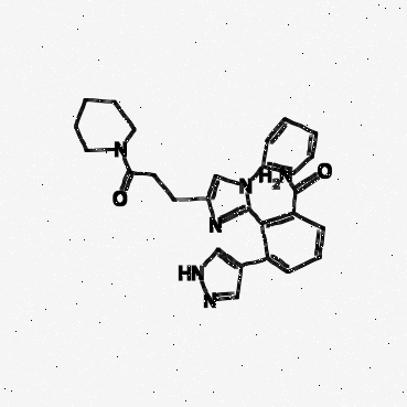 NC(=O)c1cccc(-c2cn[nH]c2)c1-c1nc(CCC(=O)N2CCCCC2)cn1-c1ccccc1